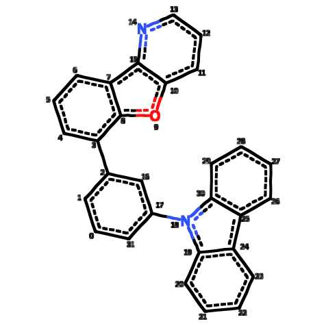 c1cc(-c2cccc3c2oc2cccnc23)cc(-n2c3ccccc3c3ccccc32)c1